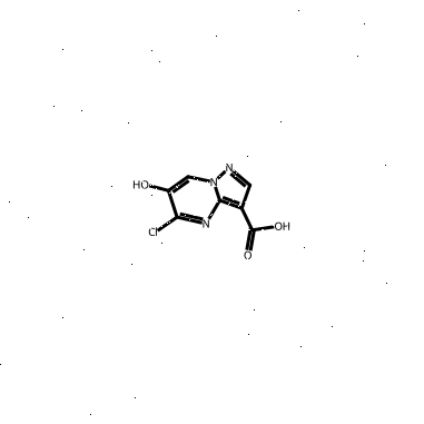 O=C(O)c1cnn2cc(O)c(Cl)nc12